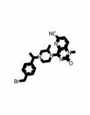 CC(c1ccc(CBr)cc1)N1CCN(c2nc(=O)n(C)c3ccc(C#N)nc23)C(C)C1